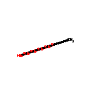 CCCCCCCCCCCCCCOCCOCCOCCOCCOCCOCCOCCOCCOCCO